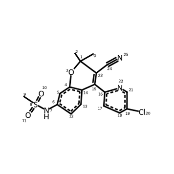 CC1(C)Oc2cc(NS(C)(=O)=O)ccc2C(c2ccc(Cl)cn2)=C1C#N